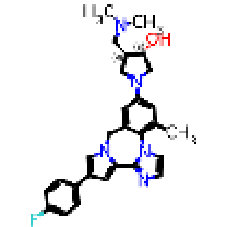 Cc1cc(N2C[C@@H](CN(C)C)[C@H](O)C2)cc2c1-n1ccnc1-c1cc(-c3ccc(F)cc3)cn1C2